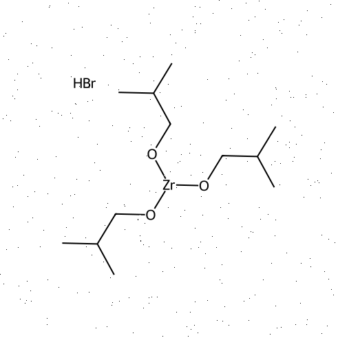 Br.CC(C)C[O][Zr]([O]CC(C)C)[O]CC(C)C